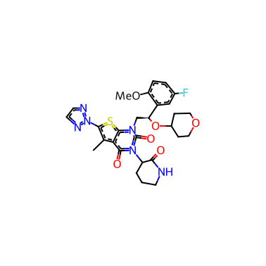 COc1ccc(F)cc1[C@H](Cn1c(=O)n(C2CCCNC2=O)c(=O)c2c(C)c(-n3nccn3)sc21)OC1CCOCC1